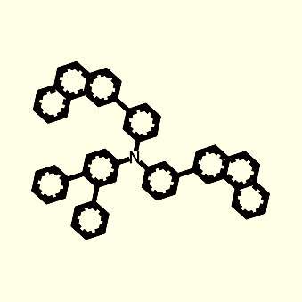 c1ccc(-c2ccc(N(c3cccc(-c4ccc5ccc6ccccc6c5c4)c3)c3cccc(-c4ccc5ccc6ccccc6c5c4)c3)cc2-c2ccccc2)cc1